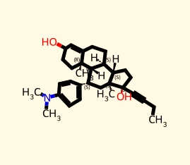 CCC#C[C@]1(O)CC[C@H]2[C@@H]3CCC4=CC(O)CC[C@]4(C)[C@H]3[C@@H](c3ccc(N(C)C)cc3)C[C@@]21C